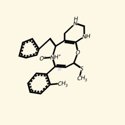 CSC1/C=C(/c2ccccc2C)[NH+]([O-])C(Cc2ccccc2)C2=C(NCNC2)O1